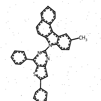 Cc1ccc2c(c1)c1c3ccccc3ccc1n2-c1nc(-c2ccccc2)c2sc(-c3ccccc3)cc2n1